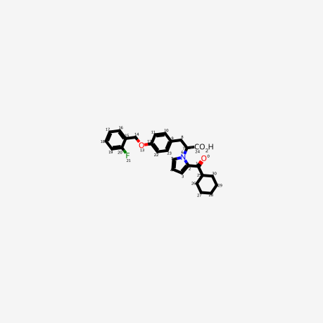 O=C(c1cccn1C(Cc1ccc(OCc2ccccc2F)cc1)C(=O)O)C1CCCCC1